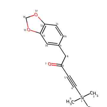 C[Si](C)(C)C#CC(=O)Cc1ccc2c(c1)OCO2